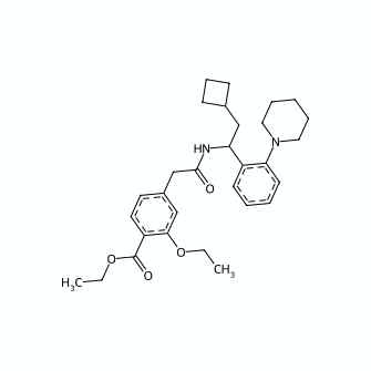 CCOC(=O)c1ccc(CC(=O)NC(CC2CCC2)c2ccccc2N2CCCCC2)cc1OCC